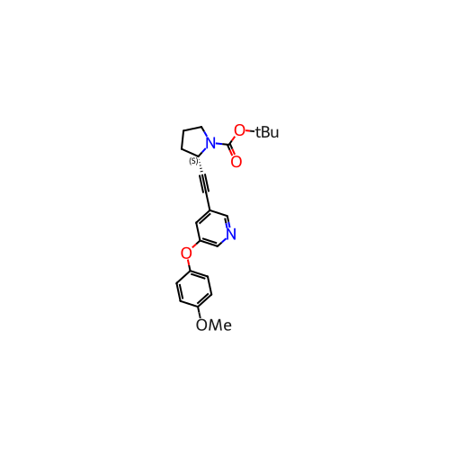 COc1ccc(Oc2cncc(C#C[C@@H]3CCCN3C(=O)OC(C)(C)C)c2)cc1